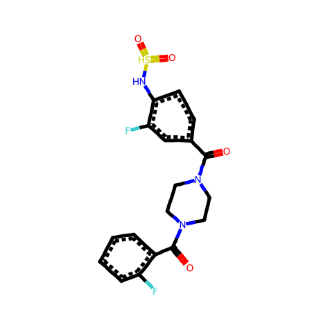 O=C(c1ccc(N[SH](=O)=O)c(F)c1)N1CCN(C(=O)c2ccccc2F)CC1